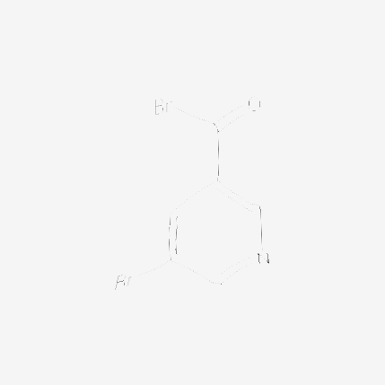 O=C(Br)c1cncc(Br)c1